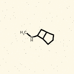 CNC1CC2CCCC21